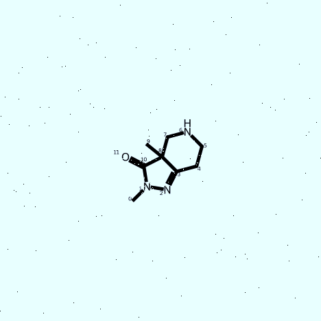 CN1N=C2CCNCC2(C)C1=O